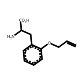 C=CCOc1ccccc1CC(N)C(=O)O